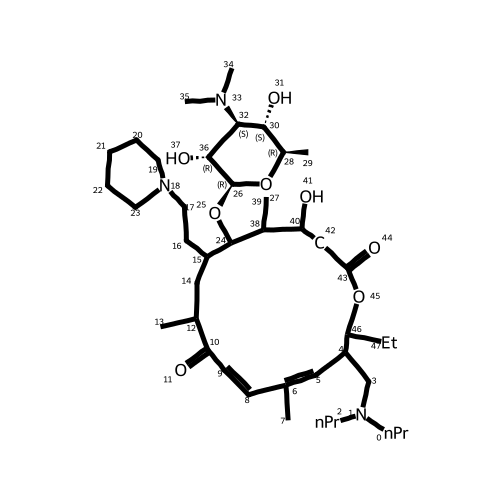 CCCN(CCC)CC1C=C(C)C=CC(=O)C(C)CC(CCN2CCCCC2)C(O[C@@H]2O[C@H](C)[C@@H](O)[C@H](N(C)C)[C@H]2O)C(C)C(O)CC(=O)OC1CC